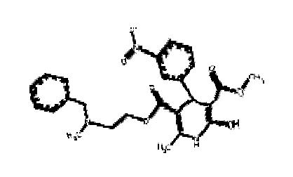 COC(=O)C1=C(O)NC(C)=C(C(=O)OCCN(C)Cc2ccccc2)C1c1cccc([N+](=O)[O-])c1